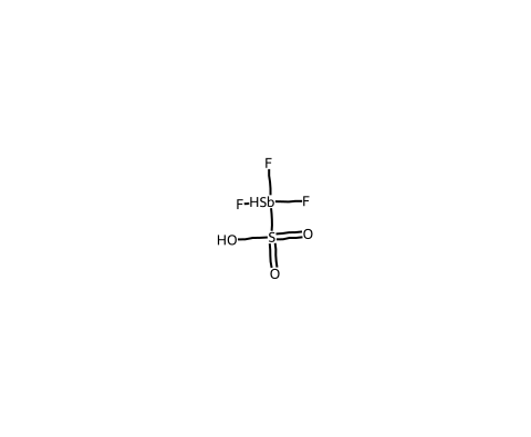 O=[S](=O)(O)[SbH]([F])([F])[F]